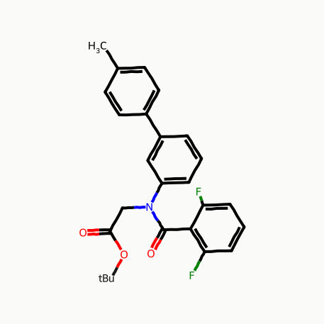 Cc1ccc(-c2cccc(N(CC(=O)OC(C)(C)C)C(=O)c3c(F)cccc3F)c2)cc1